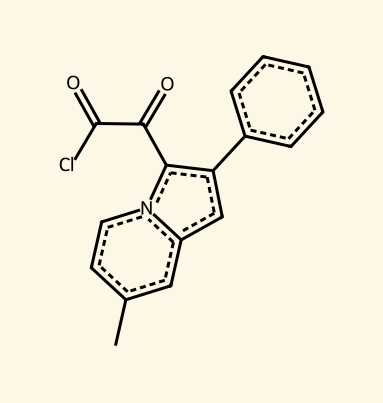 Cc1ccn2c(C(=O)C(=O)Cl)c(-c3ccccc3)cc2c1